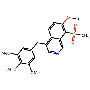 CCOc1ccc2c(Cc3cc(OC)c(OC)c(OC)c3)cncc2c1S(C)(=O)=O